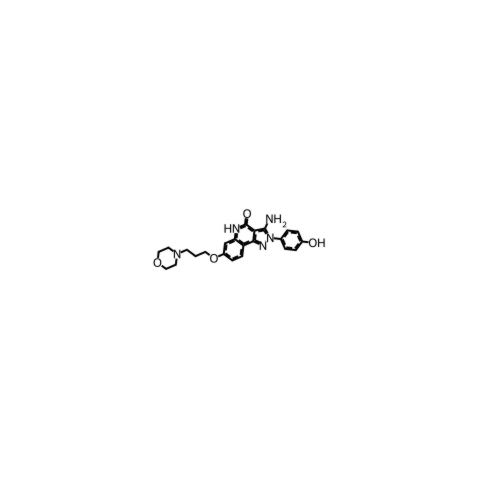 Nc1c2c(=O)[nH]c3cc(OCCCN4CCOCC4)ccc3c2nn1-c1ccc(O)cc1